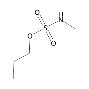 CCCOS(=O)(=O)NC